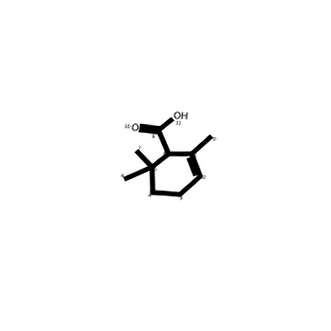 CC1=CCCC(C)(C)C1C(=O)O